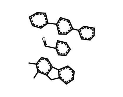 Cc1ccc2c(c1C)Cc1ccccc1-2.O=Cc1ccccc1.c1ccc(-c2ccc(-c3ccccc3)cc2)cc1